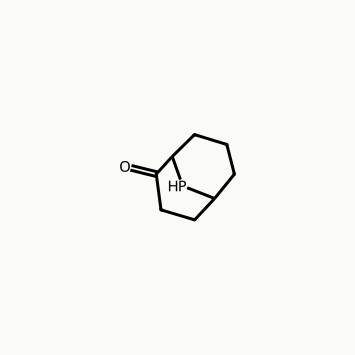 O=C1CCC2CCCC1P2